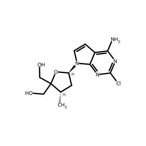 C[C@H]1C[C@H](n2ccc3c(N)nc(Cl)nc32)OC1(CO)CO